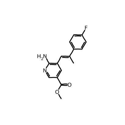 COC(=O)c1cnc(N)c(/C=C(\C)c2ccc(F)cc2)c1